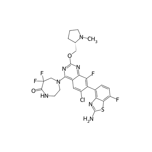 CN1CCC[C@H]1COc1nc(N2CCNC(=O)C(F)(F)C2)c2cc(Cl)c(-c3ccc(F)c4sc(N)nc34)c(F)c2n1